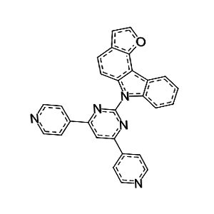 c1ccc2c(c1)c1c3occc3ccc1n2-c1nc(-c2ccncc2)cc(-c2ccncc2)n1